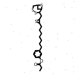 CCC(=O)Oc1cccc(CCCCCCCC2SC2CC2SSCC3CC2S3)c1